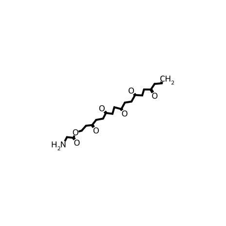 C=CCC(=O)CCC(=O)CCC(=O)CCC(=O)CCC(=O)CCOC(=O)CN